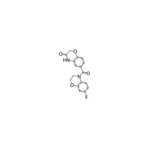 O=C1COc2ccc(C(=O)N3[CH]COc4cc(F)ccc43)cc2N1